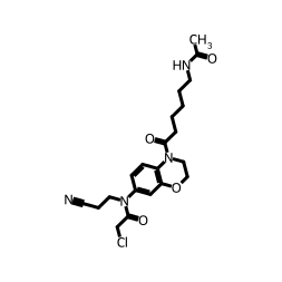 CC(=O)NCCCCCC(=O)N1CCOc2cc(N(CCC#N)C(=O)CCl)ccc21